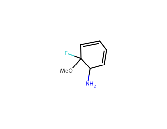 COC1(F)C=CC=CC1N